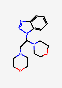 c1ccc2c(c1)nnn2C(CN1CCOCC1)N1CCOCC1